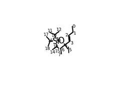 CCC=CC(I)(CC)O[Si](C(C)C)(C(C)C)C(C)C